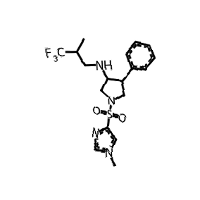 CC(CNC1CN(S(=O)(=O)c2cn(C)cn2)CC1c1ccccc1)C(F)(F)F